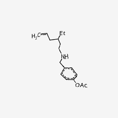 C=CCC(CC)CCNCc1ccc(OC(C)=O)cc1